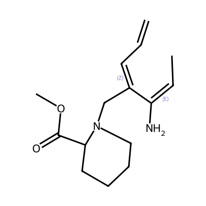 C=C/C=C(CN1CCCCC1C(=O)OC)\C(N)=C/C